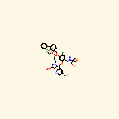 C[C@@]1(Cl)C(c2ccccc2)=CC=CC1(COc1cc(OCc2cncc(C#N)c2)c(CNC2(CO)COC2)cc1Cl)OCCCN1CCC(O)C1